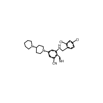 N#Cc1cc(N2CCC(N3CCCCC3)CC2)cc(NCc2ccc(Cl)cc2Cl)c1C=N